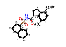 COc1ccc(C)c2c1CC[C@@H]2C(=O)NS(=O)(=O)c1cccc2ccccc12